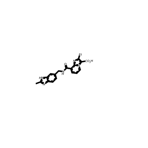 CCc1nc2c(C(=O)NCc3ccc4nc(C)[nH]c4c3)cccn2c1C(=O)O